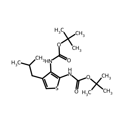 CC(C)Cc1csc(NC(=O)OC(C)(C)C)c1NC(=O)OC(C)(C)C